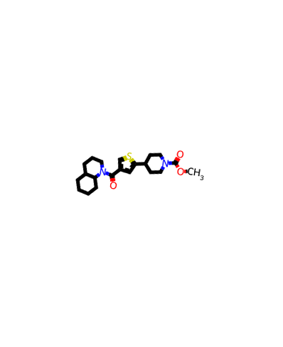 COC(=O)N1CCC(c2cc(C(=O)N3CCCC4CCCCC43)cs2)CC1